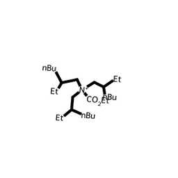 CCCCC(CC)C[N+](CC(CC)CCCC)(CC(CC)CCCC)C(=O)OCC